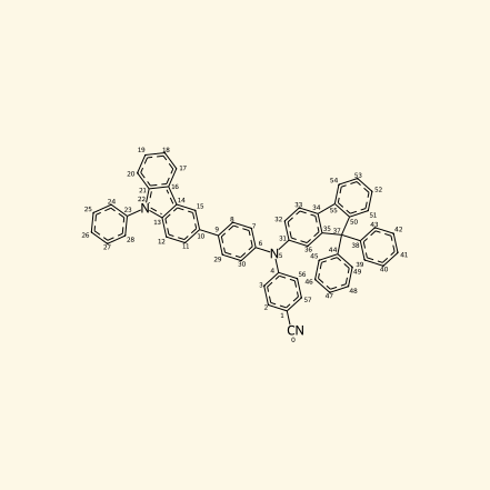 N#Cc1ccc(N(c2ccc(-c3ccc4c(c3)c3ccccc3n4-c3ccccc3)cc2)c2ccc3c(c2)C(c2ccccc2)(c2ccccc2)c2ccccc2-3)cc1